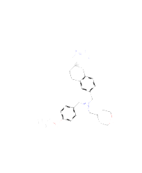 COc1ccc(CN(Cc2ccc3c(c2)CC[C@H](CN)C3)CC2CCOCC2)cc1